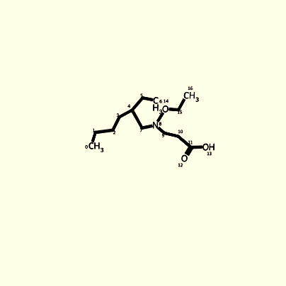 CCCCC(CC)CN(CCC(=O)O)OCC